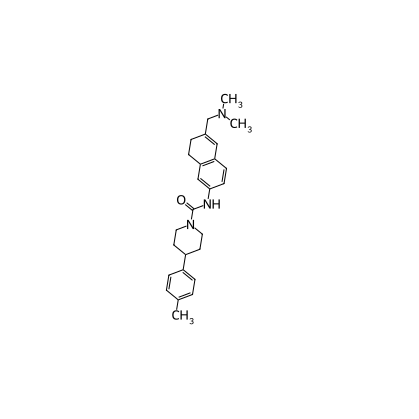 Cc1ccc(C2CCN(C(=O)Nc3ccc4c(c3)CCC(CN(C)C)=C4)CC2)cc1